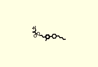 C=C(CN(C)C)C(=O)OCCCc1ccc(C2CCC(CCCCC)CC2)cc1C